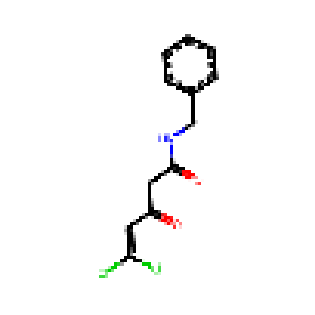 O=C(C=C(Cl)Cl)CC(=O)NCc1ccccc1